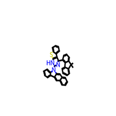 CC1(C)c2ccccc2-c2c(C3=NC(n4c5ccccc5c5cc6ccccc6cc54)Nc4sc5ccccc5c43)cccc21